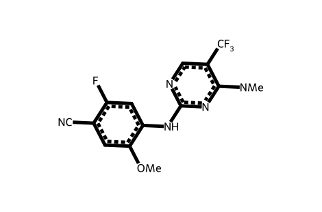 CNc1nc(Nc2cc(F)c(C#N)cc2OC)ncc1C(F)(F)F